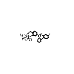 NC1(C(=O)O)CCc2ccc(Oc3ccccc3-c3ccc(F)cc3F)cc2C1